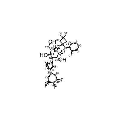 Cc1ccccc1[C@@H](S[C@@H]1O[C@H](CO)[C@H](O)[C@H](n2cc(-c3cc(F)c(F)c(F)c3)nn2)[C@H]1O)C1(O)CC(C)(C)C1